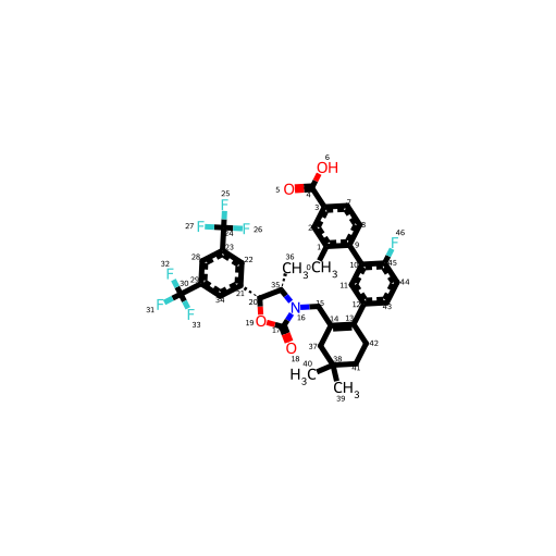 Cc1cc(C(=O)O)ccc1-c1cc(C2=C(CN3C(=O)O[C@H](c4cc(C(F)(F)F)cc(C(F)(F)F)c4)[C@@H]3C)CC(C)(C)CC2)ccc1F